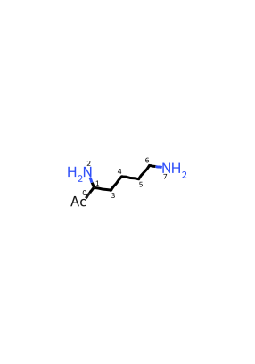 CC(=O)C(N)CCCCN